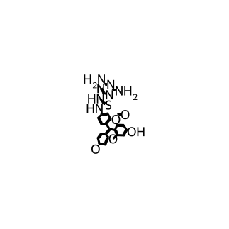 Nc1nc(N)nc(NC(=S)Nc2ccc(-c3c4ccc(=O)cc-4oc4cc(O)ccc34)c(OC=O)c2)n1